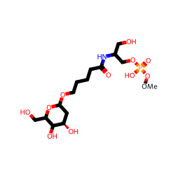 COOP(=O)(O)OCC(CO)NC(=O)CCCCOC1C[C@@H](O)C(O)C(CO)O1